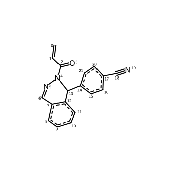 C=CC(=O)N1N=Cc2ccccc2C1c1ccc(C#N)cc1